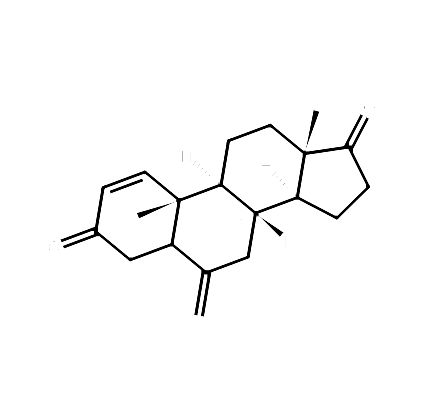 C=C1C[C@@H]2[C@H](CC[C@]3(C)C(=O)CC[C@@H]23)[C@@]2(C)C=CC(=O)CC12